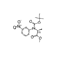 COC(=O)[C@H](C)N(C(=O)OC(C)(C)C)c1cccc([N+](=O)[O-])c1